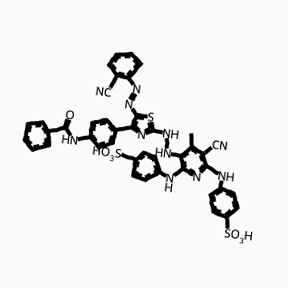 Cc1c(C#N)c(Nc2ccc(S(=O)(=O)O)cc2)nc(Nc2ccc(S(=O)(=O)O)cc2)c1NNc1nc(-c2ccc(NC(=O)c3ccccc3)cc2)c(N=Nc2ccccc2C#N)s1